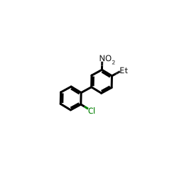 CCc1ccc(-c2ccccc2Cl)cc1[N+](=O)[O-]